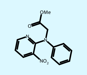 COC(=O)CN(c1ccccc1)c1ncccc1[N+](=O)[O-]